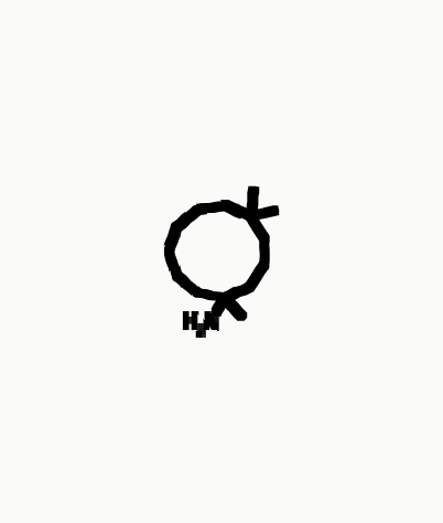 CC1(C)CCCCCCC(C)(N)CCC1